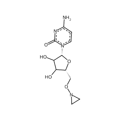 Nc1ccn([C@@H]2O[C@H](CON3CC3)C(O)C2O)c(=O)n1